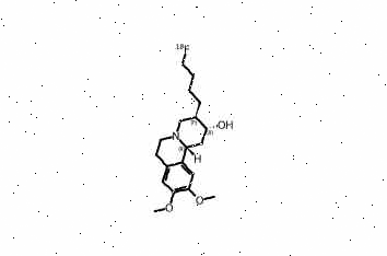 COc1cc2c(cc1OC)[C@H]1C[C@@H](O)[C@H](CCCC[18F])CN1CC2